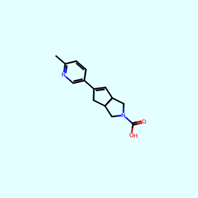 Cc1ccc(C2=CC3CN(C(=O)O)CC3C2)cn1